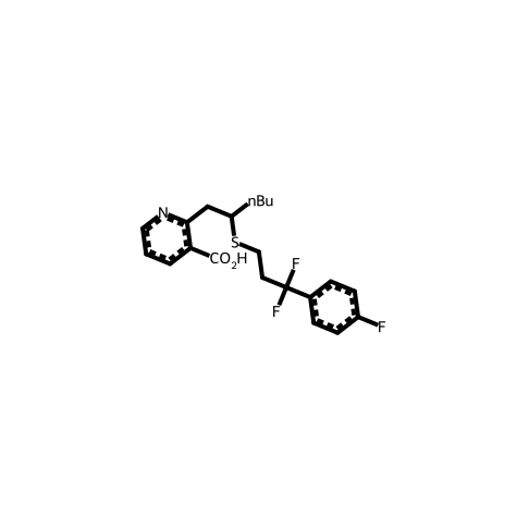 CCCCC(Cc1ncccc1C(=O)O)SCCC(F)(F)c1ccc(F)cc1